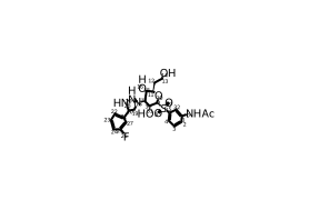 CC(=O)Nc1cccc(S(=O)(=O)[C@@H]2O[C@H](CCO)[C@H](O)[C@H](N3CC(c4cccc(F)c4)NN3)[C@H]2O)c1